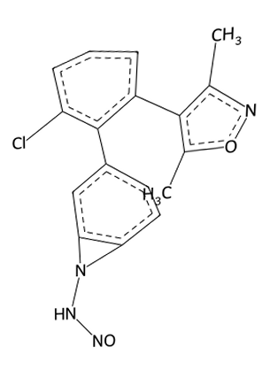 Cc1noc(C)c1-c1cccc(Cl)c1-c1ccc2c(c1)N2NN=O